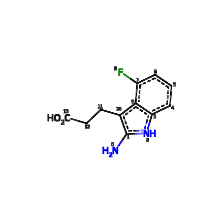 Nc1[nH]c2cccc(F)c2c1CCC(=O)O